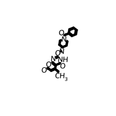 CCc1cc(=O)oc2nc(ON=C3CCN(C(=O)c4ccccc4)CC3)[nH]c(=O)c12